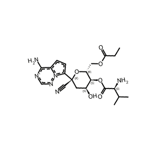 CCC(=O)OC[C@H]1O[C@@](C#N)(c2ccc3c(N)ncnn23)C[C@H](O)[C@@H]1OC(=O)[C@@H](N)C(C)C